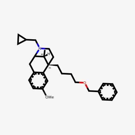 COc1ccc2c(c1)[C@@]1(CCCCOCc3ccccc3)CCN(CC3CC3)C(C2)[C@@H]1C